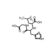 CC(C)CC(NC(Cc1c[nH]cn1)C(=O)NCC(=O)O)C(=O)O